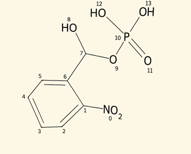 O=[N+]([O-])c1ccccc1C(O)OP(=O)(O)O